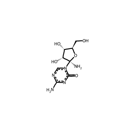 Nc1ncn([C@]2(N)O[C@H](CO)[C@@H](O)[C@H]2O)c(=O)n1